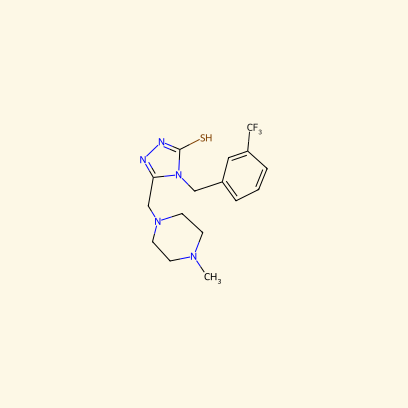 CN1CCN(Cc2nnc(S)n2Cc2cccc(C(F)(F)F)c2)CC1